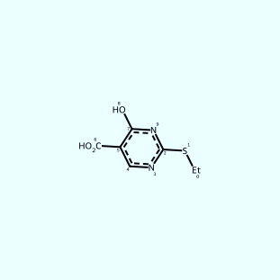 CCSc1ncc(C(=O)O)c(O)n1